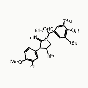 Br.CCC[C@@H]1CN(C(C=O)c2cc(C(C)(C)C)c(O)c(C(C)(C)C)c2)C(=N)[C@@H]1c1ccc(OC)c(Cl)c1